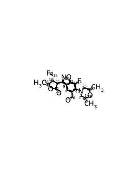 C[C@@H]1CN(c2c(C=O)cc3c(C4C(=O)O[C@H](C)[C@@H]4CF)noc3c2F)C[C@@H](C)O1